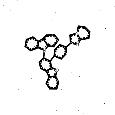 c1ccc2c(c1)oc1c(-c3ccc(-c4cn5ccccc5n4)cc3)c(-n3c4ccccc4c4ccccc43)ccc12